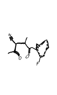 CC(=O)C(C#N)C(C)C(=O)c1ccccc1F